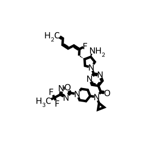 C=C/C=C\C=C(\F)C[C@H]1CN(c2ncc(C(=O)N(C3CC3)C3CCN(c4nc(C(C)(F)F)no4)CC3)cn2)C[C@@H]1N